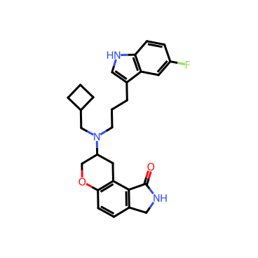 O=C1NCc2ccc3c(c21)CC(N(CCCc1c[nH]c2ccc(F)cc12)CC1CCC1)CO3